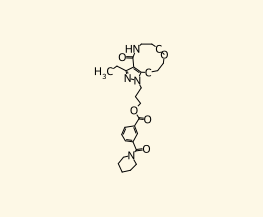 CCc1nn(CCCOC(=O)c2cccc(C(=O)N3CCCCC3)c2)c2c1C(=O)NCCCOCCC2